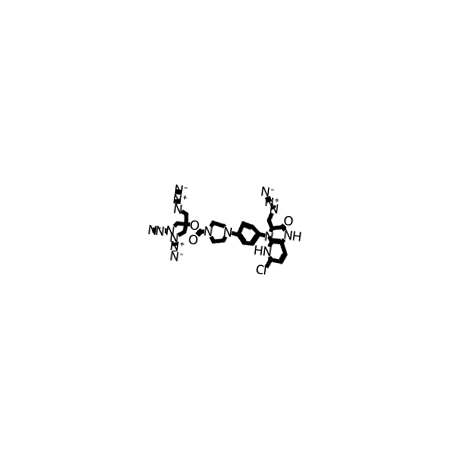 [N-]=[N+]=NCC1C(=O)NC2=C(NC(Cl)C=C2)N1c1ccc(N2CCN(C(=O)OC(CN=[N+]=[N-])(CN=[N+]=[N-])CN=[N+]=[N-])CC2)cc1